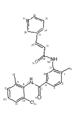 Cc1ccc(C(=O)Nc2c(C)cccc2Cl)cc1NC(=O)C=Cc1cccnc1